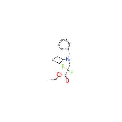 CCOC(=O)C(F)(F)CN(Cc1ccccc1)C1CCC1